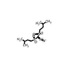 CC(C)CCS(=O)(=O)C(=[N+]=[N-])S(=O)(=O)CCC(C)C